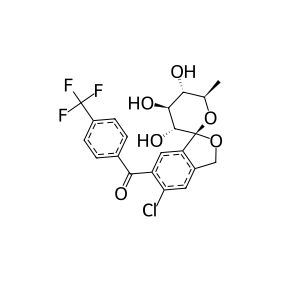 C[C@H]1O[C@]2(OCc3cc(Cl)c(C(=O)c4ccc(C(F)(F)F)cc4)cc32)[C@H](O)[C@@H](O)[C@@H]1O